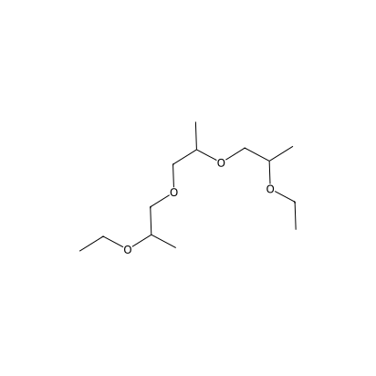 CCOC(C)COCC(C)OCC(C)OCC